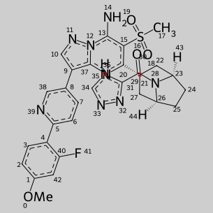 COc1ccc(-c2ccc(-c3cnn4c(N)c(S(C)(=O)=O)c([C@@H]5C[C@H]6CC[C@@H](C5)N6C(=O)c5nnc[nH]5)nc34)cn2)c(F)c1